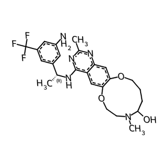 Cc1nc(N[C@H](C)c2cc(N)cc(C(F)(F)F)c2)c2cc3c(cc2n1)OCCCC(O)N(C)CCO3